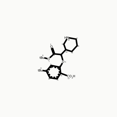 CC(C)(C)OC(=O)C(Oc1cc(C(C)(C)C)ccc1C(=O)O)C1CCCNC1